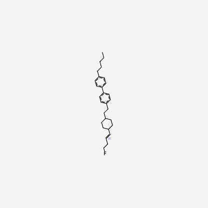 CCCCCc1ccc(-c2ccc(CCC3CCC(/C=C/CCF)CC3)cc2)cc1